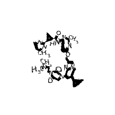 Cc1ccnc([C@H]2C[C@@H]2C(=O)Nc2cc(OCc3cn4cc(C5CC5)cc(N5CC(=O)N(CCN(C)C)C5=O)c4n3)nc(C)n2)n1